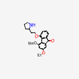 CCOc1cc(OC)c2c(c1)C(=O)c1cccc(OCCC3CCCN3)c1-2